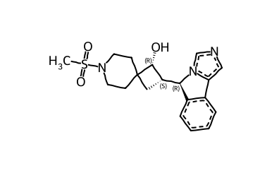 CS(=O)(=O)N1CCC2(CC1)C[C@@H]([C@@H]1c3ccccc3-c3cncn31)[C@H]2O